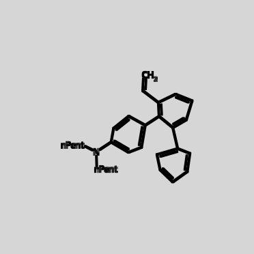 C=Cc1cccc(-c2ccccc2)c1-c1ccc(N(CCCCC)CCCCC)cc1